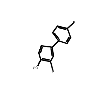 Oc1ccc(-c2ccc(F)cc2)cc1F